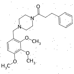 COc1ccc(CN2CCN(C(=O)CCc3ccccc3)CC2)c(OC)c1OC